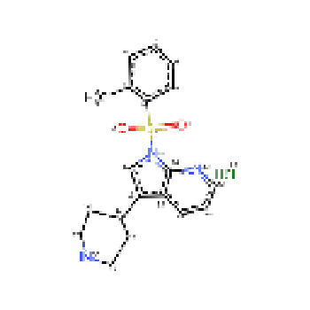 Cc1ccccc1S(=O)(=O)n1cc(C2CCNCC2)c2cccnc21.Cl